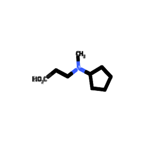 CCOC(=O)CCN(C)C1CCCC1